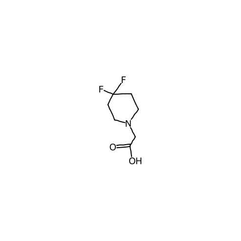 O=C(O)CN1CCC(F)(F)CC1